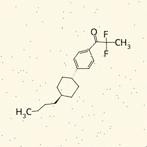 CCCC[C@H]1CC[C@H](c2ccc(C(=O)C(C)(F)F)cc2)CC1